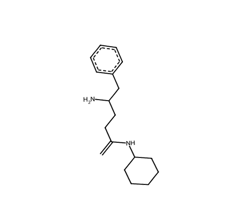 C=C(CCC(N)Cc1ccccc1)NC1CCCCC1